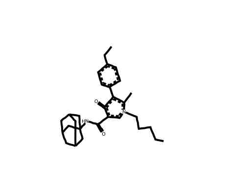 CCCCCn1cc(C(=O)NC23CC4CC(CC(C4)C2)C3)c(=O)c(-c2ccc(CC)cc2)c1C